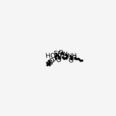 CCCCOC(=O)Nc1ccn([C@@H]2O[C@H](CO[Si](C)(C)C(C)(C)C)[C@@H](O)C2(F)F)c(=O)n1